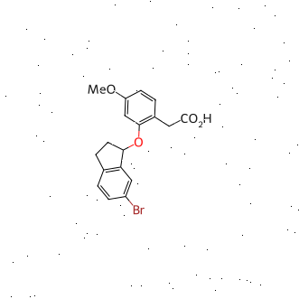 COc1ccc(CC(=O)O)c(OC2CCc3ccc(Br)cc32)c1